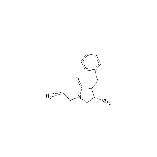 C=CCN1CC(N)C(Cc2ccccc2)C1=O